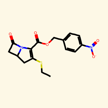 CCSC1=C(C(=O)OCc2ccc([N+](=O)[O-])cc2)N2C(=O)CC2C1